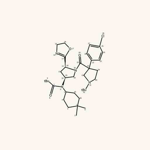 CC1(C)CCC(N(C(=O)C(C)(C)C)[C@H]2C[C@@H](C3=NCCO3)N(C(=O)C3(c4ccc(Cl)cc4)CCN(C(C)(C)C)C3)C2)CC1